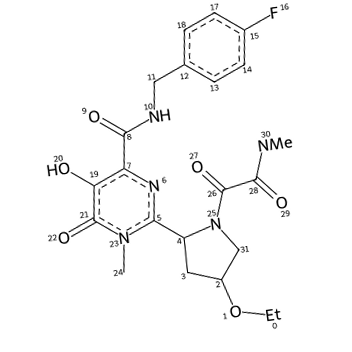 CCOC1CC(c2nc(C(=O)NCc3ccc(F)cc3)c(O)c(=O)n2C)N(C(=O)C(=O)NC)C1